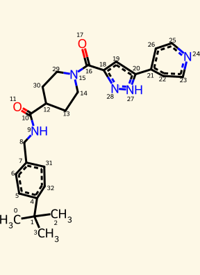 CC(C)(C)c1ccc(CNC(=O)C2CCN(C(=O)c3cc(-c4ccncc4)[nH]n3)CC2)cc1